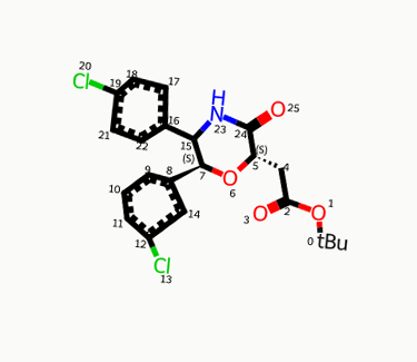 CC(C)(C)OC(=O)C[C@@H]1O[C@@H](c2cccc(Cl)c2)C(c2ccc(Cl)cc2)NC1=O